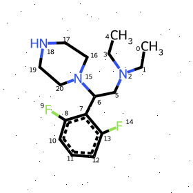 CCN(CC)CC(c1c(F)cccc1F)N1CCNCC1